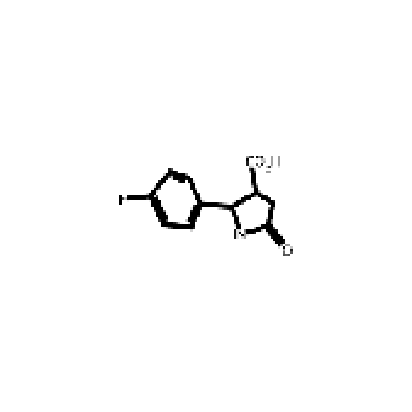 O=C1CC(C(=O)O)C(c2ccc(F)cc2)N1